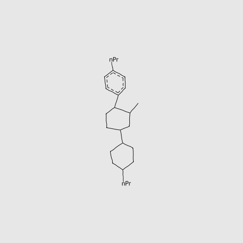 CCCc1ccc(C2CCC(C3CCC(CCC)CC3)CC2C)cc1